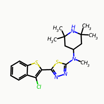 CN(c1nnc(-c2sc3ccccc3c2Cl)s1)C1CC(C)(C)NC(C)(C)C1